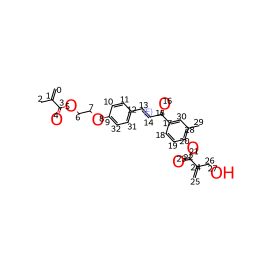 C=C(C)C(=O)OCCOc1ccc(/C=C/C(=O)c2ccc(OC(=O)C(=C)CO)c(C)c2)cc1